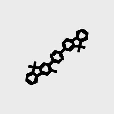 Cc1cc2c(cc1-c1cnc(-c3ccc4c(c3)C(C)(C)c3ccccc3-4)cn1)C(C)(C)c1ccccc1-2